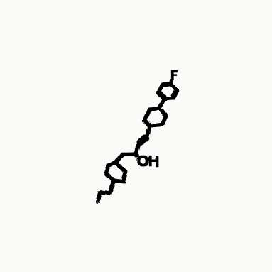 CCCC1CCC(CC(O)C#CC2CCC(c3ccc(F)cc3)CC2)CC1